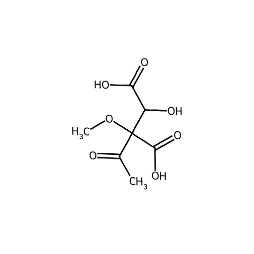 COC(C(C)=O)(C(=O)O)C(O)C(=O)O